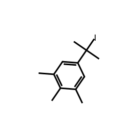 Cc1cc(C(C)(C)I)cc(C)c1C